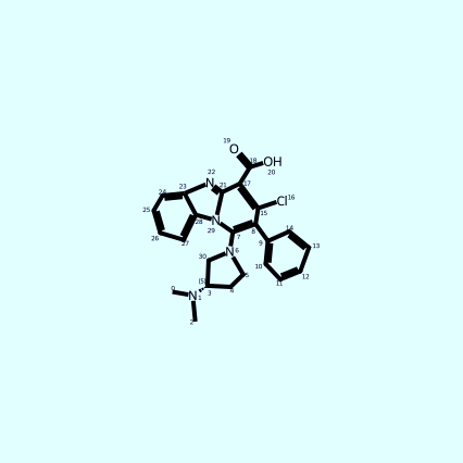 CN(C)[C@H]1CCN(c2c(-c3ccccc3)c(Cl)c(C(=O)O)c3nc4ccccc4n23)C1